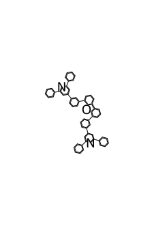 c1ccc(-c2cc(-c3cccc(-c4cccc5c4oc4c(-c6cccc(-c7cc(-c8ccccc8)nc(-c8ccccc8)c7)c6)cccc45)c3)cc(-c3ccccc3)n2)cc1